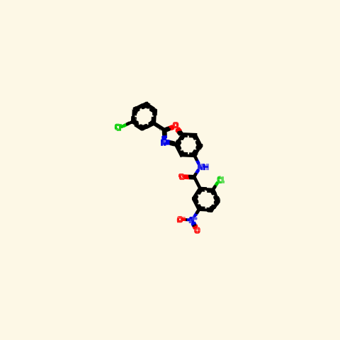 O=C(Nc1ccc2oc(-c3cccc(Cl)c3)nc2c1)c1cc([N+](=O)[O-])ccc1Cl